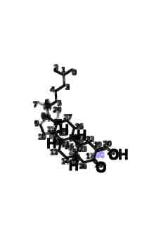 CC(C)CCC[C@@H](C)[C@H]1CC[C@H]2[C@@H]3CC[C@H]4CC(=O)/C(=C\O)C[C@]4(C)[C@H]3CC[C@]12C